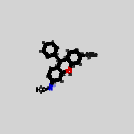 C/N=c1\ccc2c(-c3ccccc3)c3ccc(NC)cc3oc-2c1